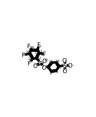 [O]S(=O)(=O)c1ccc(OS(=O)(=O)c2c(F)c(F)c(F)c(F)c2F)cc1